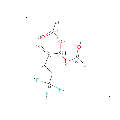 C=C(CCC(F)(F)F)[SiH](OC(C)=O)OC(C)=O